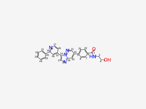 O=C(NCCO)c1ccc(-c2cnn3c(-c4ccnc(-c5ccccc5)c4)cnc3c2)cc1